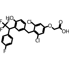 O=C(O)COc1cc(Cl)c(Cc2ccc(O)c(C(c3ccc(F)cc3)C(F)(F)F)c2)c(Cl)c1